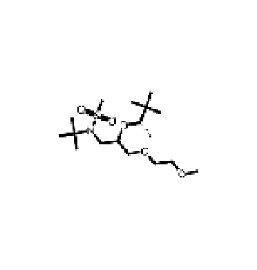 COCCOCC(CN(C(C)(C)C)S(C)(=O)=O)O[C@@H](C)C(C)(C)C